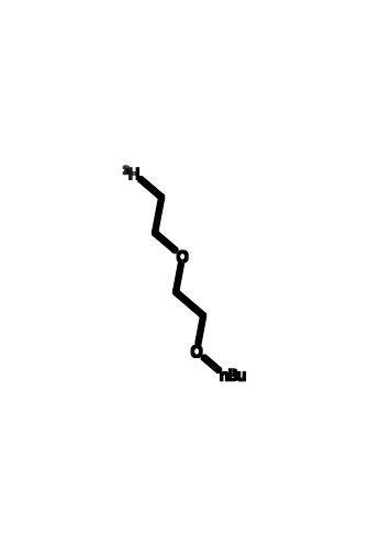 [3H]CCOCCOCCCC